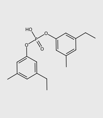 CCc1cc(C)cc(OP(=O)(O)Oc2cc(C)cc(CC)c2)c1